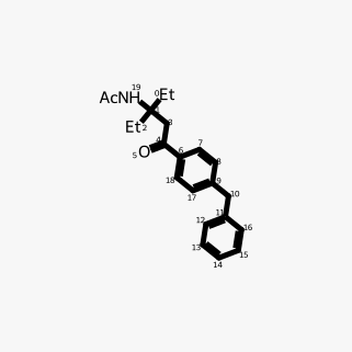 CCC(CC)(CC(=O)c1ccc(Cc2ccccc2)cc1)NC(C)=O